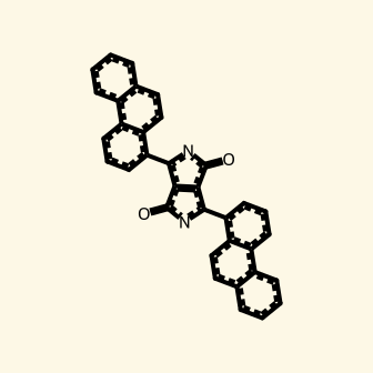 O=c1nc(-c2cccc3c2ccc2ccccc23)c2c(=O)nc(-c3cccc4c3ccc3ccccc34)c1=2